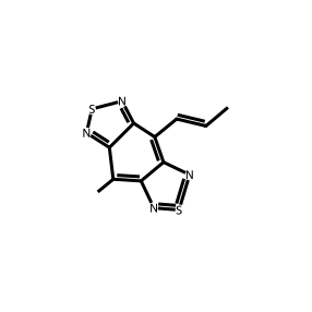 C/C=C/c1c2c(c(C)c3nsnc13)N=S=N2